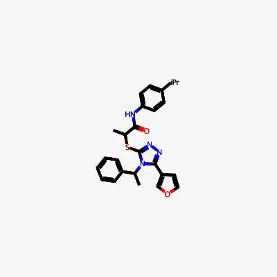 CC(Sc1nnc(-c2ccoc2)n1C(C)c1ccccc1)C(=O)Nc1ccc(C(C)C)cc1